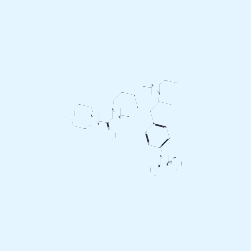 CCCN(CC1CCN(C(=O)N2CCOCC2)CC1)C(C)Cc1ccc([N+](=O)[O-])cc1